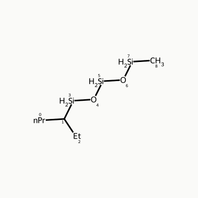 CCCC(CC)[SiH2]O[SiH2]O[SiH2]C